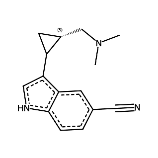 CN(C)C[C@H]1CC1c1c[nH]c2ccc(C#N)cc12